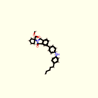 CCCCCc1ccc(Nc2ccc(-c3ccc4c(c3)C(=O)N(C3(C(=O)OC)CCCC3)C4)cc2)cc1